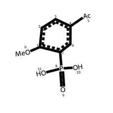 COc1ccc(C(C)=O)cc1P(=O)(O)O